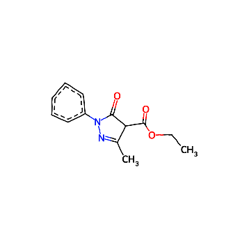 CCOC(=O)C1C(=O)N(c2ccccc2)N=C1C